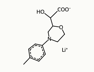 Cc1ccc(N2CCOC(C(O)C(=O)[O-])C2)cc1.[Li+]